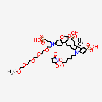 COCCOCCOCCOCCOCCN(CCCS(=O)(=O)O)c1ccc2c(c1)OC=CC=C2/C=C/C=C1/N(CCCCCC(=O)ON2C(=O)CCC2=O)c2ccc(S(=O)(=O)O)cc2C1(C)CCCS(=O)(=O)O